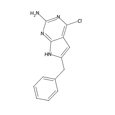 Nc1nc(Cl)c2cc(Cc3ccccc3)[nH]c2n1